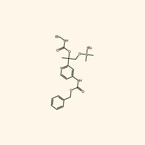 CC(C)(C)NC(=O)OC(C)(CO[Si](C)(C)C(C)(C)C)c1cc(NC(=O)OCc2ccccc2)ccn1